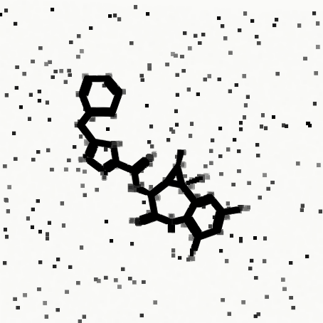 C[C@@H]1C2[C@H](NC(=O)c3nnc(Cc4ccccc4)o3)C(=O)Nc3c(F)cc(F)cc3[C@@H]21